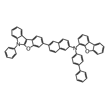 c1ccc(-c2ccc(N(c3ccc4cc(-c5ccc6c(c5)oc5c6c6ccccc6n5-c5ccccc5)ccc4c3)c3cccc4c3oc3ccccc34)cc2)cc1